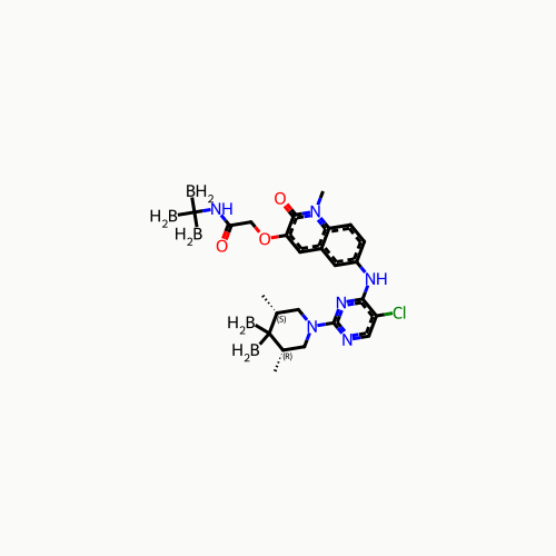 BC(B)(B)NC(=O)COc1cc2cc(Nc3nc(N4C[C@@H](C)C(B)(B)[C@@H](C)C4)ncc3Cl)ccc2n(C)c1=O